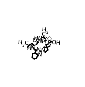 CC(=O)NNC(=O)C[C@H](CC(C)C)Nc1nc(N2CCC3(CN(C(=O)O)C3)C2)nc2c1CCCC2